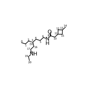 CCC[C@@H](CCCNC(=O)CC1CC(C)C1)CCNCC